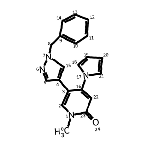 Cn1cc(-c2cnn(Cc3ccccc3)c2)c(-n2cccc2)cc1=O